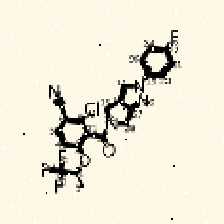 C[C@H](Oc1ccc(C#N)c(Cl)c1C(=O)N1Cc2cn(-c3ccc(F)cc3)nc2C1)C(F)(F)F